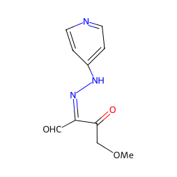 COCC(=O)/C(C=O)=N\Nc1ccncc1